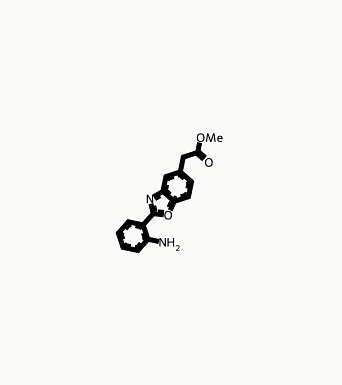 COC(=O)Cc1ccc2oc(-c3ccccc3N)nc2c1